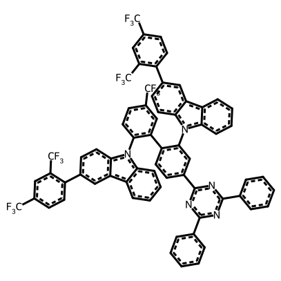 FC(F)(F)c1ccc(-n2c3ccccc3c3cc(-c4ccc(C(F)(F)F)cc4C(F)(F)F)ccc32)c(-c2ccc(-c3nc(-c4ccccc4)nc(-c4ccccc4)n3)cc2-n2c3ccccc3c3cc(-c4ccc(C(F)(F)F)cc4C(F)(F)F)ccc32)c1